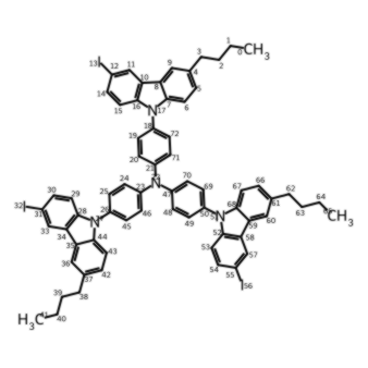 CCCCc1ccc2c(c1)c1cc(I)ccc1n2-c1ccc(N(c2ccc(-n3c4ccc(I)cc4c4cc(CCCC)ccc43)cc2)c2ccc(-n3c4ccc(I)cc4c4cc(CCCC)ccc43)cc2)cc1